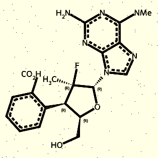 CNc1nc(N)nc2c1ncn2[C@@H]1O[C@@H](CO)[C@@H](c2ccccc2C(=O)O)[C@@]1(C)F